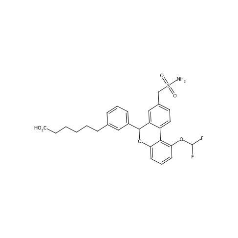 NS(=O)(=O)Cc1ccc2c(c1)C(c1cccc(CCCCCC(=O)O)c1)Oc1cccc(OC(F)F)c1-2